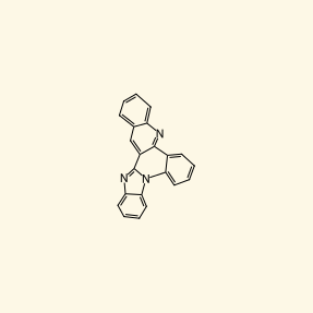 c1ccc2nc3c4ccccc4n4c5ccccc5nc4c3cc2c1